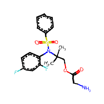 CC(C)(COC(=O)CN)N(c1ccc(F)cc1F)S(=O)(=O)c1ccccc1